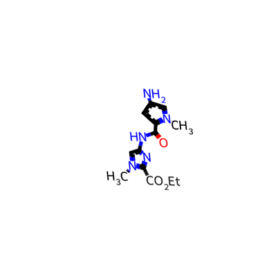 CCOC(=O)c1nc(NC(=O)c2cc(N)cn2C)cn1C